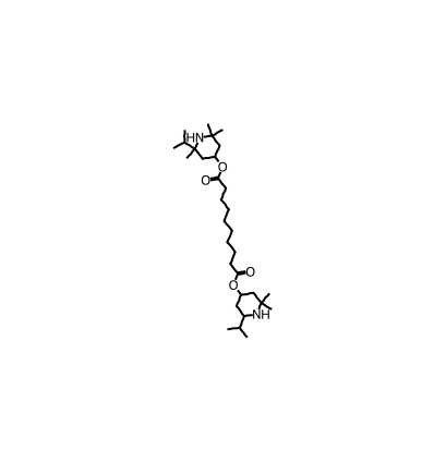 CC(C)C1CC(OC(=O)CCCCCCCCC(=O)OC2CC(C)(C)NC(C)(C(C)C)C2)CC(C)(C)N1